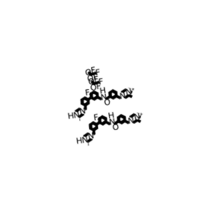 CC1CN(Cc2cccc(C(=O)NCc3ccc(F)c(-c4cccc(CN5CCN[C@@H](C)C5)c4)c3)c2)CC[N+]1(C)C.CC1CN(Cc2cccc(C(=O)NCc3ccc(F)c(-c4cccc(CN5CCN[C@@H](C)C5)c4)c3)c2)CC[N+]1(C)C.O=C([O-])C(F)(F)F.O=C([O-])C(F)(F)F